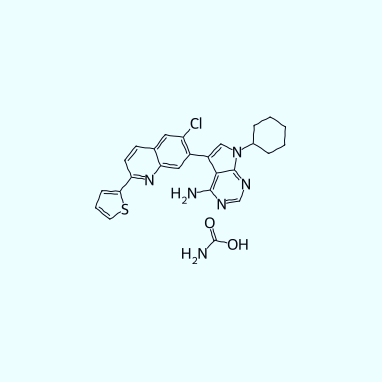 NC(=O)O.Nc1ncnc2c1c(-c1cc3nc(-c4cccs4)ccc3cc1Cl)cn2C1CCCCC1